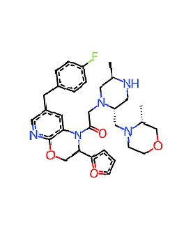 C[C@@H]1CN(CC(=O)N2c3cc(Cc4ccc(F)cc4)cnc3OCC2c2ccco2)[C@@H](CN2CCOC[C@H]2C)CN1